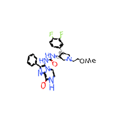 COCCN1C[C@@H](NC(=O)Nc2c(-c3ccccc3)nc3c(=O)[nH]ccn23)[C@H](c2ccc(F)c(F)c2)C1